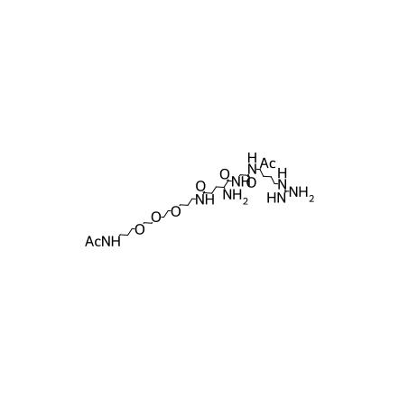 CC(=O)NCCCOCCOCCOCCCNC(=O)CC[C@H](N)C(=O)NCC(=O)N[C@@H](CCCNC(=N)N)C(C)=O